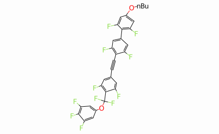 CCCCOc1cc(F)c(-c2cc(F)c(C#Cc3cc(F)c(C(F)(F)Oc4cc(F)c(F)c(F)c4)c(F)c3)c(F)c2)c(F)c1